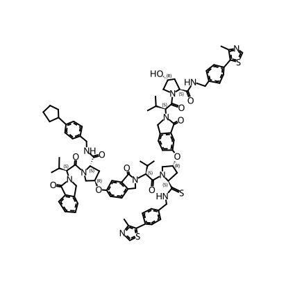 Cc1ncsc1-c1ccc(CNC(=O)[C@@H]2C[C@@H](O)CN2C(=O)[C@H](C(C)C)N2Cc3ccc(O[C@@H]4C[C@@H](C(=S)NCc5ccc(-c6scnc6C)cc5)N(C(=O)[C@H](C(C)C)N5Cc6ccc(O[C@@H]7C[C@@H](C(=O)NCc8ccc(C9CCCC9)cc8)N(C(=O)[C@H](C(C)C)N8Cc9ccccc9C8=O)C7)cc6C5=O)C4)cc3C2=O)cc1